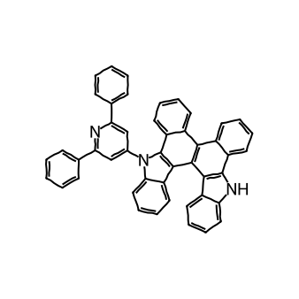 c1ccc(-c2cc(-n3c4ccccc4c4c5c(c6ccccc6c6[nH]c7ccccc7c65)c5ccccc5c43)cc(-c3ccccc3)n2)cc1